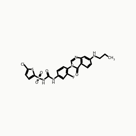 CCCNc1ccc2c(=O)n(-c3ccc(NC(=O)NS(=O)(=O)c4ccc(Cl)s4)cc3F)cnc2c1